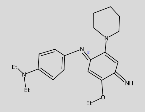 CCOC1=C/C(=N\c2ccc(N(CC)CC)cc2)C(N2CCCCC2)=CC1=N